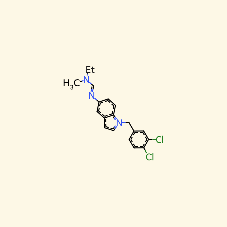 CCN(C)C=Nc1ccc2c(ccn2Cc2ccc(Cl)c(Cl)c2)c1